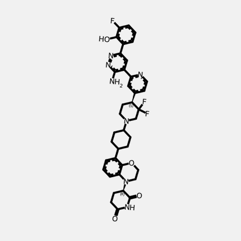 Nc1nnc(-c2cccc(F)c2O)cc1-c1cc([C@@H]2CCN(C3CCC(c4cccc5c4OCCN5[C@@H]4CCC(=O)NC4=O)CC3)CC2(F)F)ccn1